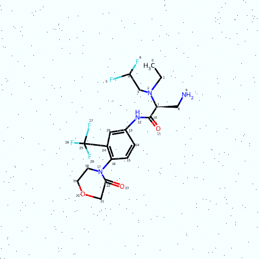 CCN(CC(F)F)[C@@H](CN)C(=O)Nc1ccc(N2CCOCC2=O)c(C(F)(F)F)c1